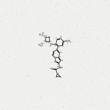 Cc1cc(-c2ccn3nc(NC(=O)C4CC4)cc3c2)c(O[C@H]2CN(C)[C@H]2C)cn1